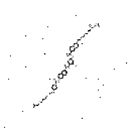 C=CC(=O)OCCCCCCOc1ccc2cc(C(=O)Oc3ccc(OC(=O)c4ccc5cc(OC(=O)c6ccc(OCCCCCCOCC7CO7)cc6)ccc5c4)c(CCC)c3)ccc2c1